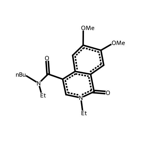 CCCCN(CC)C(=O)c1cn(CC)c(=O)c2cc(OC)c(OC)cc12